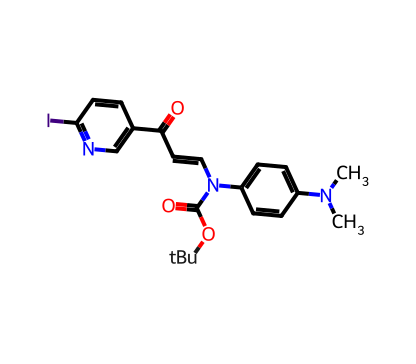 CN(C)c1ccc(N(C=CC(=O)c2ccc(I)nc2)C(=O)OC(C)(C)C)cc1